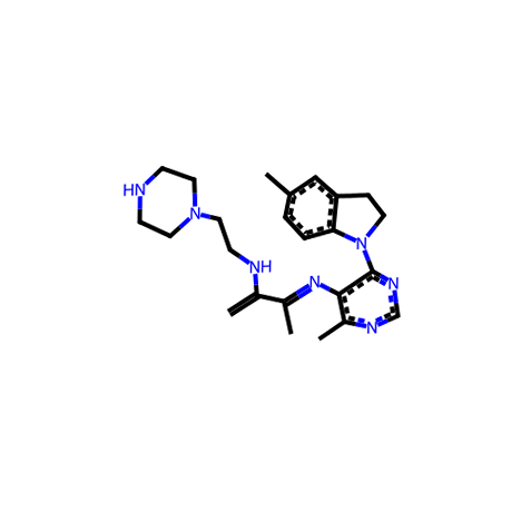 C=C(NCCN1CCNCC1)/C(C)=N/c1c(C)ncnc1N1CCc2cc(C)ccc21